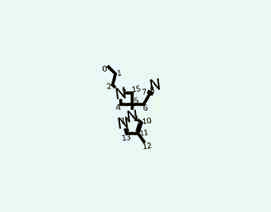 CCCN1CC(CC#N)(n2cc(C)cn2)C1